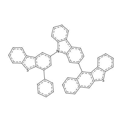 c1ccc(-c2cc(-n3c4ccccc4c4ccc(-c5c6ccccc6cc6sc7ccccc7c56)cc43)cc3c2sc2ccccc23)cc1